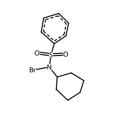 O=S(=O)(c1ccccc1)N(Br)C1CCCCC1